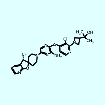 CC(C)(O)C1CN(c2nccc(Sc3ncc(N4CCC5(CC4)Oc4ncccc4[C@H]5N)nc3N)c2Cl)C1